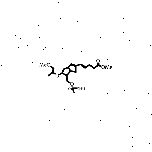 COCC(C)OC1CC2C=C(C=CCCC(=O)OC)CC2C1CO[Si](C)(C)C(C)(C)C